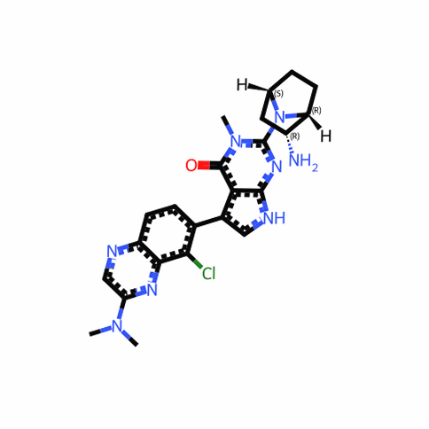 CN(C)c1cnc2ccc(-c3c[nH]c4nc(N5[C@H]6CC[C@@H]5[C@H](N)C6)n(C)c(=O)c34)c(Cl)c2n1